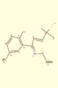 CNC/N=C(\C=C\C(C)(C)F)c1cc(C(C)C)ccc1C